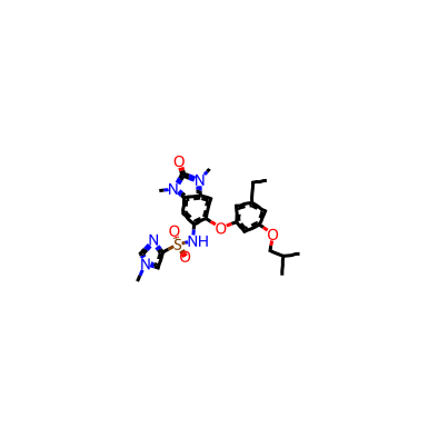 CCc1cc(OCC(C)C)cc(Oc2cc3c(cc2NS(=O)(=O)c2cn(C)cn2)n(C)c(=O)n3C)c1